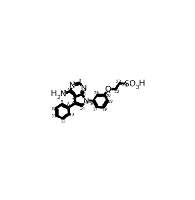 Nc1ncnc2c1c(-c1ccccc1)cn2-c1cccc(OCCS(=O)(=O)O)c1